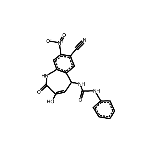 N#Cc1cc2c(cc1[N+](=O)[O-])NC(=O)C(O)=CC2NC(=O)Nc1ccccc1